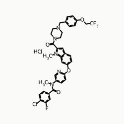 CN(C(=O)c1ccc(Cl)c(F)c1)c1ccc(Oc2ccc3cc(C(=O)N4CCN(Cc5ccc(OCC(F)(F)F)cc5)CC4)n(C)c3c2)nc1.Cl